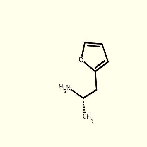 C[C@H](N)Cc1ccco1